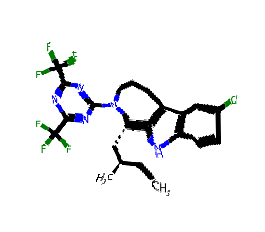 CC[C@@H](C)C[C@H]1c2[nH]c3ccc(Cl)cc3c2CCN1c1nc(C(F)(F)F)nc(C(F)(F)F)n1